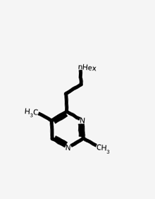 CCCCCCCCc1nc(C)ncc1C